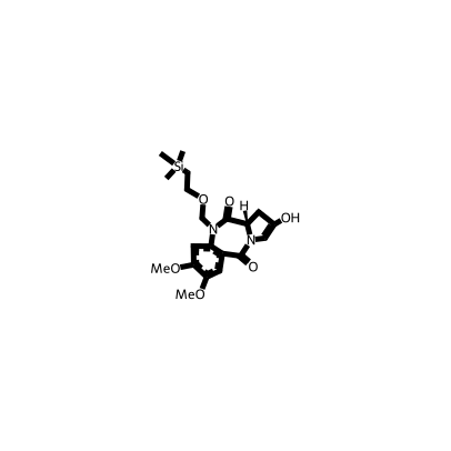 COc1cc2c(cc1OC)N(COCC[Si](C)(C)C)C(=O)[C@@H]1CC(O)=CN1C2=O